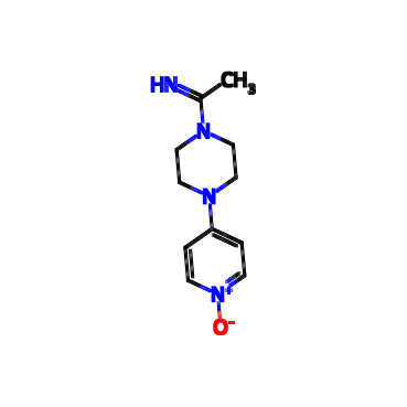 CC(=N)N1CCN(c2cc[n+]([O-])cc2)CC1